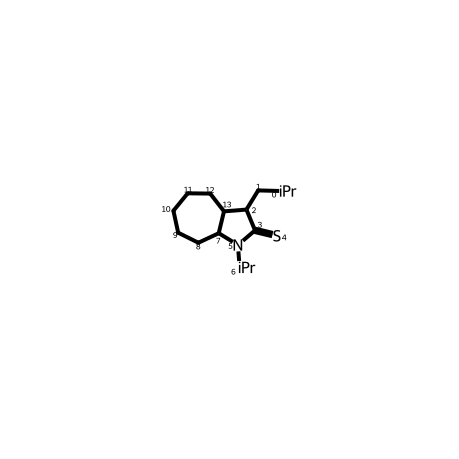 CC(C)CC1C(=S)N(C(C)C)C2CCCCCC12